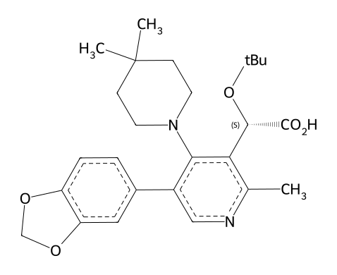 Cc1ncc(-c2ccc3c(c2)OCO3)c(N2CCC(C)(C)CC2)c1[C@H](OC(C)(C)C)C(=O)O